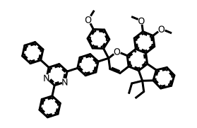 CCC1(CC)c2ccccc2-c2c1c1c(c3cc(OC)c(OC)cc23)OC(c2ccc(OC)cc2)(c2ccc(-c3cc(-c4ccccc4)nc(-c4ccccc4)n3)cc2)C=C1